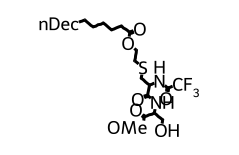 CCCCCCCCCCCCCCCC(=O)OCCSCC(NC(=O)C(F)(F)F)C(=O)NC(CO)C(=O)OC